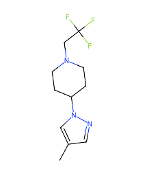 Cc1cnn(C2CCN(CC(F)(F)F)CC2)c1